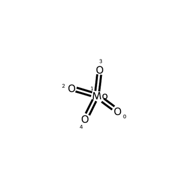 [O]=[Mo](=[O])(=[O])=[O]